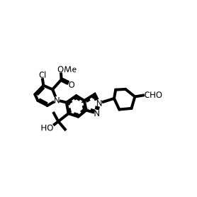 COC(=O)C1C(Cl)=CC=CN1c1cc2cn(C3CCC(C=O)CC3)nc2cc1C(C)(C)O